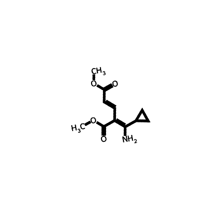 COC(=O)/C=C/C(C(=O)OC)=C(/N)C1CC1